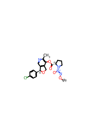 Cc1ncc2c(c1OC(=O)[C@@H]1CCCN1[N+]([O-])=NOC(C)C)CO[C@H]2c1ccc(Cl)cc1